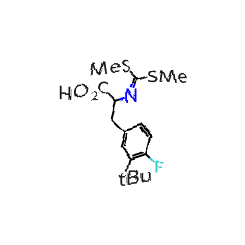 CSC(=NC(Cc1ccc(F)c(C(C)(C)C)c1)C(=O)O)SC